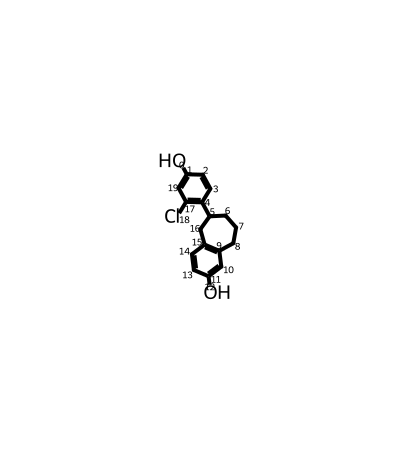 Oc1ccc(C2CCCc3cc(O)ccc3C2)c(Cl)c1